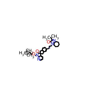 CC(C)C1=NC2(CCCCCC2)N(C/C=C/c2ccc3c(c2)CC2(C3)C(=O)N(COCC[Si](C)(C)C)c3ncccc32)C1=O